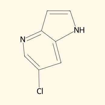 Clc1cnc2cc[nH]c2c1